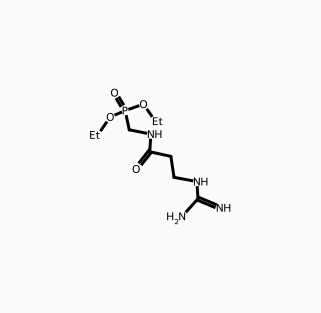 CCOP(=O)(CNC(=O)CCNC(=N)N)OCC